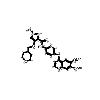 CCCn1cc(OCC2CCOCC2)c(C(=O)Nc2ccc(Oc3ccnc4cc(OC)c(OC)cc34)cn2)n1